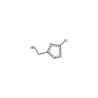 CCCCCc1csc(CC)n1